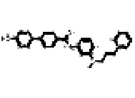 CN(CCCc1ccccc1)c1cccc(NC(=O)c2ccc(-c3ccc(O)cc3)cc2)c1